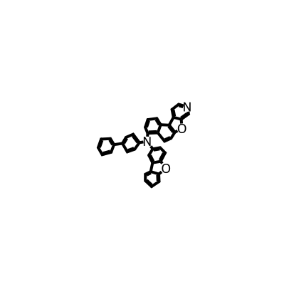 c1ccc(-c2ccc(N(c3ccc4oc5ccccc5c4c3)c3cccc4c3ccc3oc5cnccc5c34)cc2)cc1